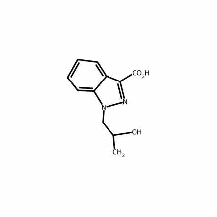 CC(O)Cn1nc(C(=O)O)c2ccccc21